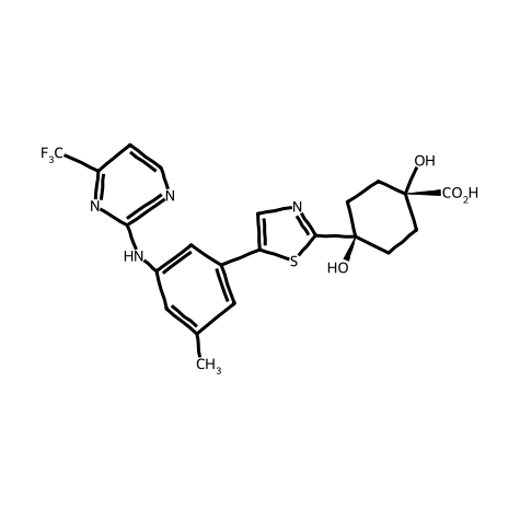 Cc1cc(Nc2nccc(C(F)(F)F)n2)cc(-c2cnc([C@]3(O)CC[C@@](O)(C(=O)O)CC3)s2)c1